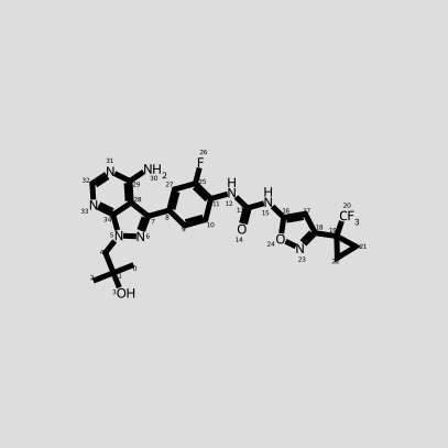 CC(C)(O)Cn1nc(-c2ccc(NC(=O)Nc3cc(C4(C(F)(F)F)CC4)no3)c(F)c2)c2c(N)ncnc21